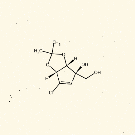 CC1(C)O[C@H]2C(Cl)=C[C@@](O)(CO)[C@H]2O1